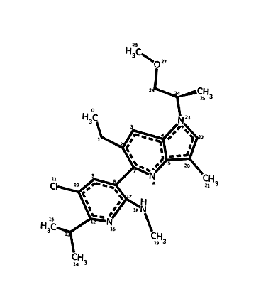 CCc1cc2c(nc1-c1cc(Cl)c(C(C)C)nc1NC)c(C)cn2[C@H](C)COC